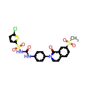 CS(=O)(=O)c1ccc2ccn(-c3ccc(NC(=O)NS(=O)(=O)c4ccc(Cl)s4)cc3)c(=O)c2c1